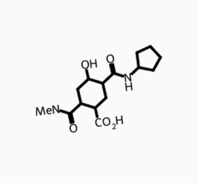 CNC(=O)C1CC(O)C(C(=O)NC2CCCC2)CC1C(=O)O